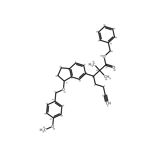 C#CCCC(c1ccc2c(c1)C(OCc1ccc(OC)cc1)CC2)C(C)(C)C(=O)OCc1ccccc1